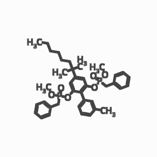 CCCCCCC(C)(C)c1cc(OP(=O)(Cc2ccccc2)OC)c(-c2cccc(C)c2)c(OP(=O)(Cc2ccccc2)OC)c1